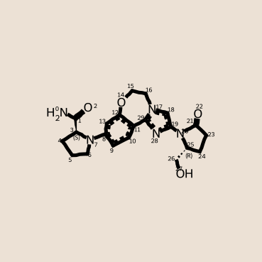 NC(=O)[C@@H]1CCCN1c1ccc2c(c1)OCCn1cc(N3C(=O)CC[C@@H]3CO)nc1-2